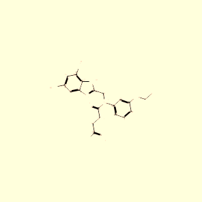 CCOc1cccc(N(Cc2nc3cc(F)cc(F)c3s2)C(=O)CCC(=O)O)c1